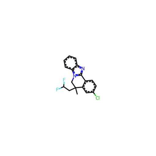 CC1(CC(F)F)Cn2c(nc3ccccc32)-c2ccc(Cl)cc21